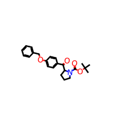 CC(C)(C)OC(=O)N1CCCC1C(=O)c1ccc(OCc2ccccc2)cc1